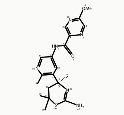 COc1cnc(C(=O)Nc2cnc(C)c([C@]3(C)CC(C)(C)SC(N)=N3)c2)cn1